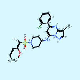 C/C=C\C(OC)=C(/C)S(=O)(=O)N1CCC(Nc2cc(-c3ccccc3Cl)nc3c(C)cnn23)CC1